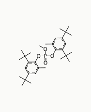 COP(=O)(Oc1c(C)cc(C(C)(C)C)cc1C(C)(C)C)Oc1c(C)cc(C(C)(C)C)cc1C(C)(C)C